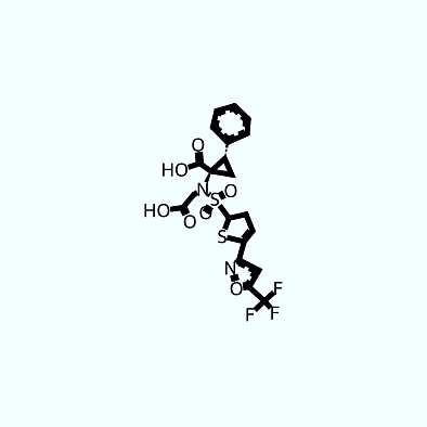 O=C(O)CN([C@]1(C(=O)O)C[C@H]1c1ccccc1)S(=O)(=O)C1CC=C(c2cc(C(F)(F)F)on2)S1